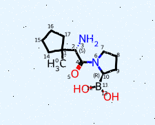 CC1([C@H](N)C(=O)N2CCC[C@H]2B(O)O)CCCC1